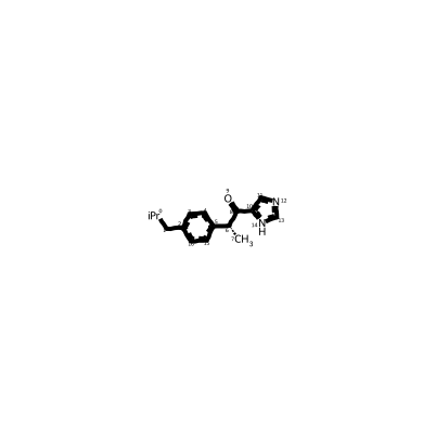 CC(C)Cc1ccc([C@@H](C)C(=O)c2cnc[nH]2)cc1